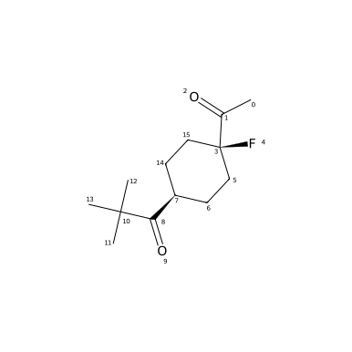 CC(=O)[C@]1(F)CC[C@@H](C(=O)C(C)(C)C)CC1